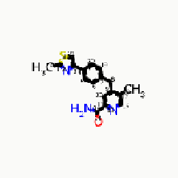 Cc1nc(-c2ccc(Cc3cc(C(N)=O)ncc3C)cc2)cs1